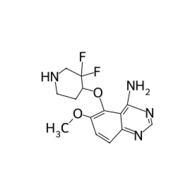 COc1ccc2ncnc(N)c2c1OC1CCNCC1(F)F